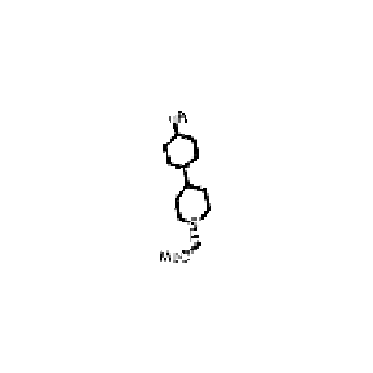 CCCC1CCC(C2CC[SiH](COC)CC2)CC1